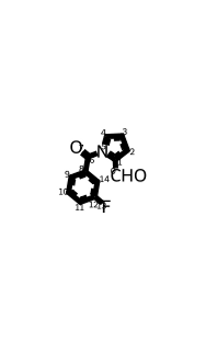 O=Cc1cccn1C(=O)c1cccc(F)c1